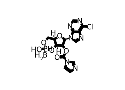 B[PH]1(O)OC[C@H]2O[C@@H](n3cnc4c(Cl)ncnc43)C(OC(=O)n3ccnc3)[C@H]2O1